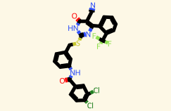 N#Cc1c(-c2ccccc2C(F)(F)F)nc(SCc2cccc(NC(=O)c3ccc(Cl)c(Cl)c3)c2)[nH]c1=O